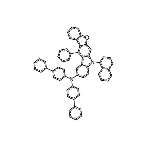 c1ccc(-c2ccc(N(c3ccc(-c4ccccc4)cc3)c3ccc4c(c3)c3c(-c5ccccc5)c5c(cc3n4-c3cccc4ccccc34)oc3ccccc35)cc2)cc1